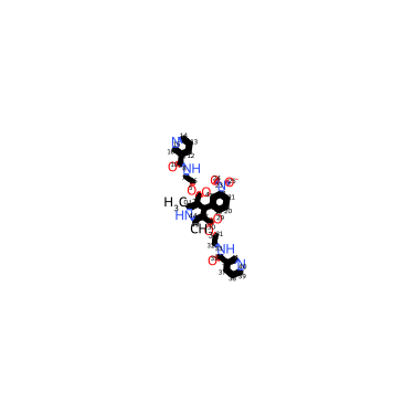 CC1=C(C(=O)OCCNC(=O)c2cccnc2)C(c2cccc([N+](=O)[O-])c2)C(C(=O)OCCNC(=O)c2cccnc2)=C(C)N1